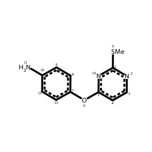 CSc1nccc(Oc2ccc(N)cc2)n1